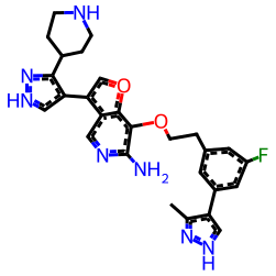 Cc1n[nH]cc1-c1cc(F)cc(CCOc2c(N)ncc3c(-c4c[nH]nc4C4CCNCC4)coc23)c1